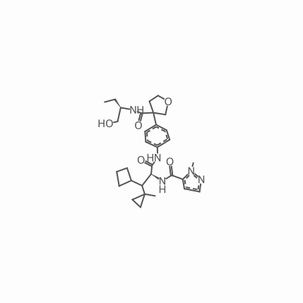 CC[C@H](CO)NC(=O)C1(c2ccc(NC(=O)[C@@H](NC(=O)c3ccnn3C)C(C3CCC3)C3(C)CC3)cc2)CCOC1